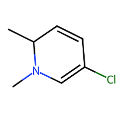 CC1C=CC(Cl)=CN1C